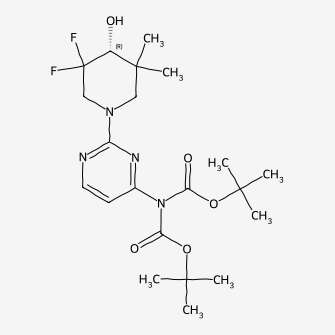 CC(C)(C)OC(=O)N(C(=O)OC(C)(C)C)c1ccnc(N2CC(C)(C)[C@@H](O)C(F)(F)C2)n1